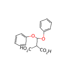 O=C(O)C(C(=O)O)C(Oc1ccccc1)Oc1ccccc1